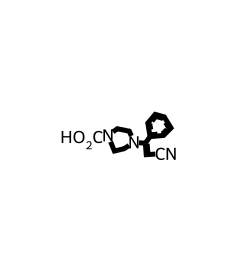 N#C/C=C(\c1ccccc1)N1CCN(C(=O)O)CC1